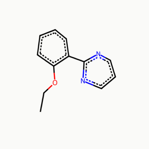 CCOc1ccccc1-c1ncccn1